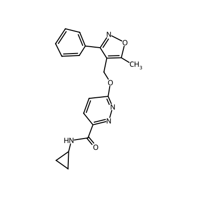 Cc1onc(-c2ccccc2)c1COc1ccc(C(=O)NC2CC2)nn1